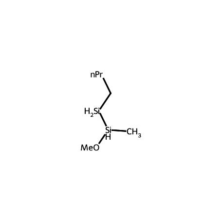 CCCC[SiH2][SiH](C)OC